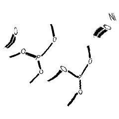 COP(OC)OC.COP(OC)OC.[C]=O.[C]=O.[Ni]